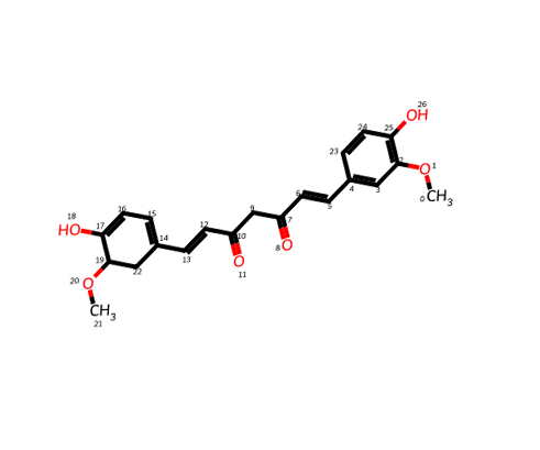 COc1cc(C=CC(=O)CC(=O)C=CC2=CC=C(O)C(OC)C2)ccc1O